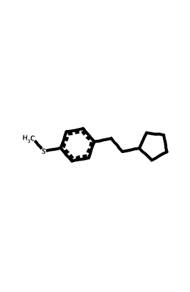 CSc1ccc([CH]CC2CCCC2)cc1